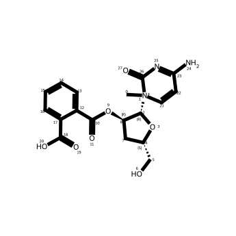 C[N+]1([C@@H]2O[C@H](CO)C[C@H]2OC(=O)c2ccccc2C(=O)O)C=CC(N)=NC1=O